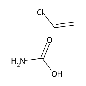 C=CCl.NC(=O)O